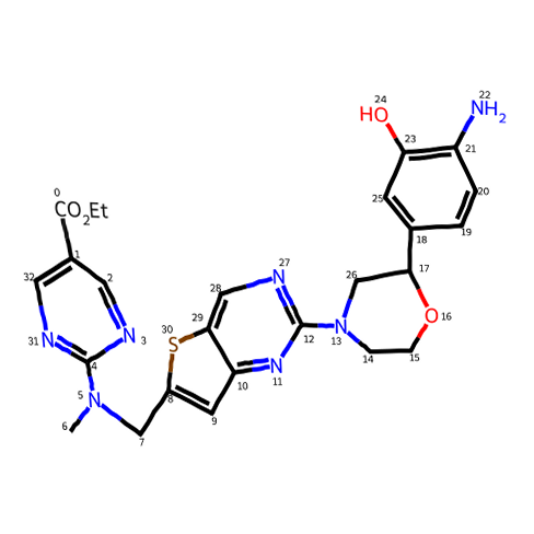 CCOC(=O)c1cnc(N(C)Cc2cc3nc(N4CCOC(c5ccc(N)c(O)c5)C4)ncc3s2)nc1